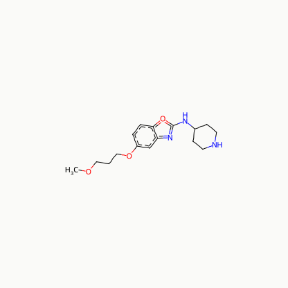 COCCCOc1ccc2oc(NC3CCNCC3)nc2c1